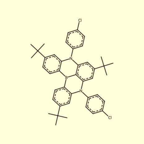 CC(C)(C)c1ccc2c(c1)N(c1ccc(Cl)cc1)c1cc(C(C)(C)C)cc3c1B2c1ccc(C(C)(C)C)cc1N3c1ccc(Cl)cc1